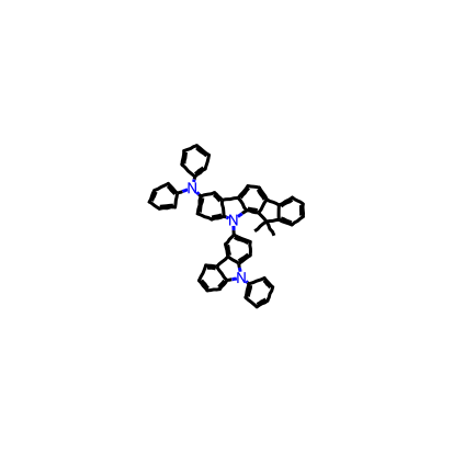 CC1(C)c2ccccc2-c2ccc3c4cc(N(c5ccccc5)c5ccccc5)ccc4n(-c4ccc5c(c4)c4ccccc4n5-c4ccccc4)c3c21